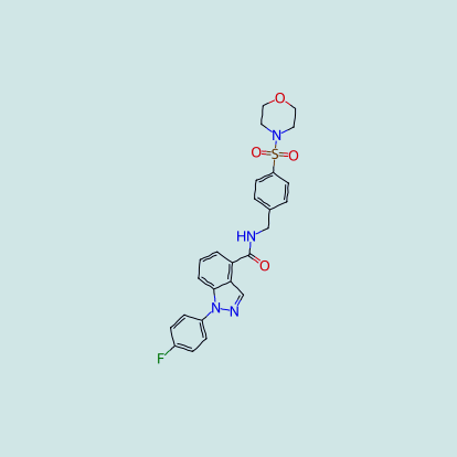 O=C(NCc1ccc(S(=O)(=O)N2CCOCC2)cc1)c1cccc2c1cnn2-c1ccc(F)cc1